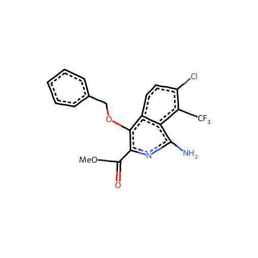 COC(=O)c1nc(N)c2c(C(F)(F)F)c(Cl)ccc2c1OCc1ccccc1